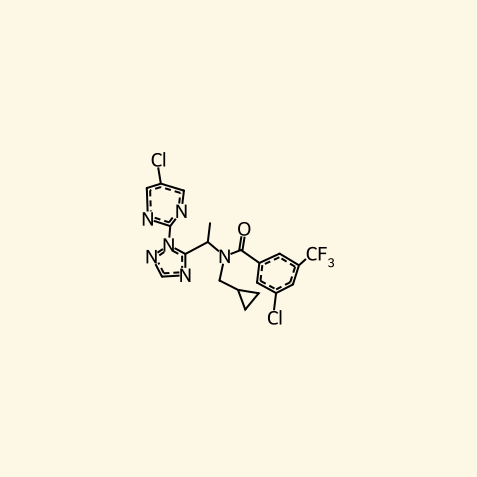 CC(c1ncnn1-c1ncc(Cl)cn1)N(CC1CC1)C(=O)c1cc(Cl)cc(C(F)(F)F)c1